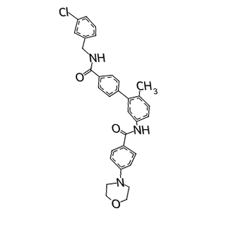 Cc1ccc(NC(=O)c2ccc(N3CCOCC3)cc2)cc1-c1ccc(C(=O)NCc2cccc(Cl)c2)cc1